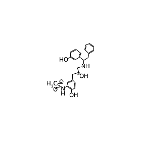 CS(=O)(=O)Nc1cc(C[C@H](O)CNC(Cc2ccccc2)c2cccc(O)c2)ccc1O